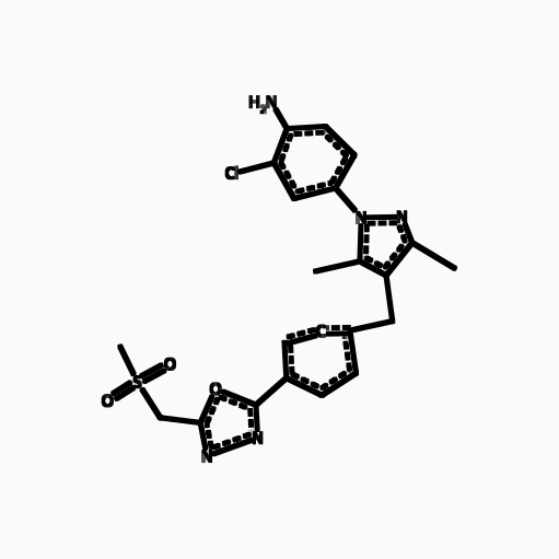 Cc1nn(-c2ccc(N)c(Cl)c2)c(C)c1Cc1ccc(-c2nnc(CS(C)(=O)=O)o2)cc1